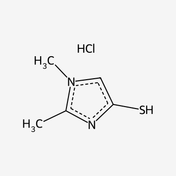 Cc1nc(S)cn1C.Cl